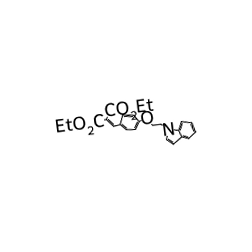 CCOC(=O)C(=Cc1ccc(OCCn2ccc3ccccc32)cc1)C(=O)OCC